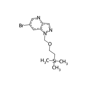 C[Si](C)(C)CCOCn1ncc2ncc(Br)cc21